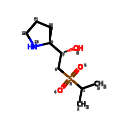 CC(C)S(=O)(=O)C[C@@H](O)[C@@H]1CCCN1